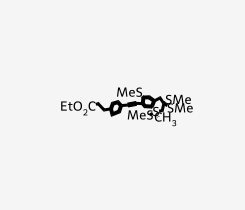 CCOC(=O)CCc1ccc(C#Cc2cc3c(cc2SC)CC(SC)(SC)CS3(C)SC)cc1